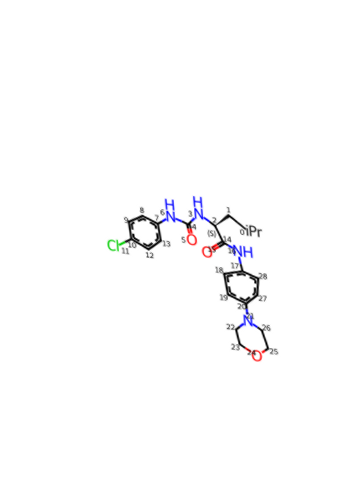 CC(C)C[C@H](NC(=O)Nc1ccc(Cl)cc1)C(=O)Nc1ccc(N2CCOCC2)cc1